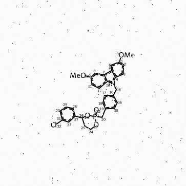 COc1ccc2c(c1)c1cc(OC)ccc1n2Cc1ccc(CP2(=O)OCCC(c3cccc(Cl)c3)O2)cc1